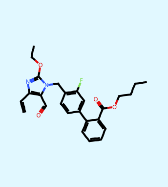 C=Cc1nc(OCC)n(Cc2ccc(-c3ccccc3C(=O)OCCCC)cc2F)c1C=O